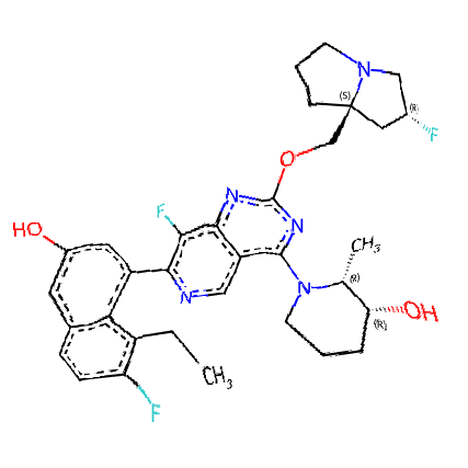 CCc1c(F)ccc2cc(O)cc(-c3ncc4c(N5CCC[C@@H](O)[C@H]5C)nc(OC[C@@]56CCCN5C[C@H](F)C6)nc4c3F)c12